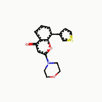 O=c1cc(N2CCOCC2)oc2c(-c3ccsc3)cccc12